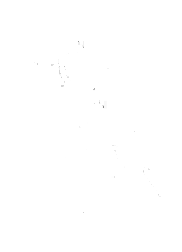 CCOC(=O)C(=CNc1cc(N)nc(C)n1)C(=O)OCC